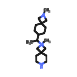 CC(C1CCC2(CC1)CN(C)C2)[N+]1(C)CC2(CCNCC2)C1